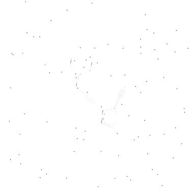 CCN(CC)CC#Cc1c(C)csc1C#N